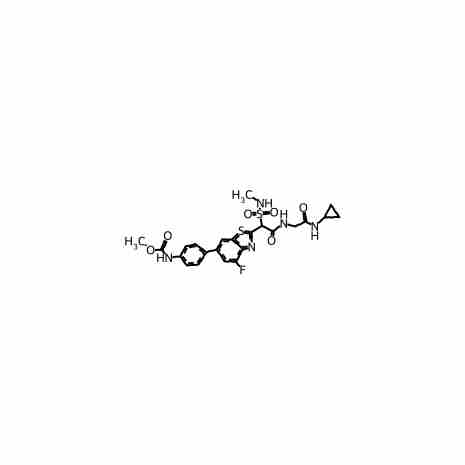 CNS(=O)(=O)C(C(=O)NCC(=O)NC1CC1)c1nc2c(F)cc(-c3ccc(NC(=O)OC)cc3)cc2s1